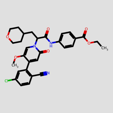 CCOC(=O)c1ccc(NC(=O)C(CC2CCOCC2)n2cc(OC)c(-c3cc(Cl)ccc3C#N)cc2=O)cc1